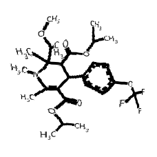 COC(C)C1(C)C(C(=O)OC(C)C)C(c2ccc(OC(F)(F)F)cc2)C(C(=O)OC(C)C)=C(C)N1C